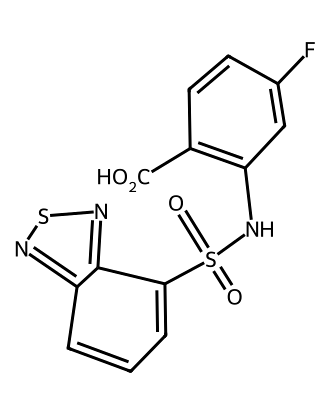 O=C(O)c1ccc(F)cc1NS(=O)(=O)c1cccc2nsnc12